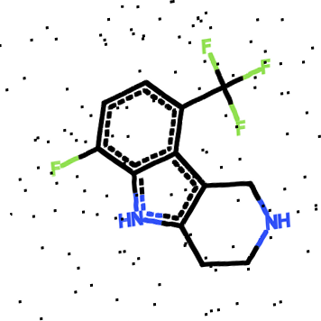 Fc1ccc(C(F)(F)F)c2c3c([nH]c12)CCNC3